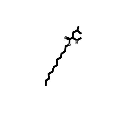 CCCCCCCCCCCCOC(=O)C(CC(C)C)NC